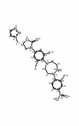 O=C1O[C@@H](Cn2ccnn2)CN1c1cc(F)c(N2CCNN(c3ccc([N+](=O)[O-])cc3F)CC2)c(F)c1